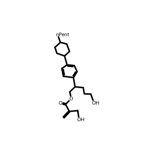 C=C(CO)C(=O)OCC(CCCO)c1ccc(C2CCC(CCCCC)CC2)cc1